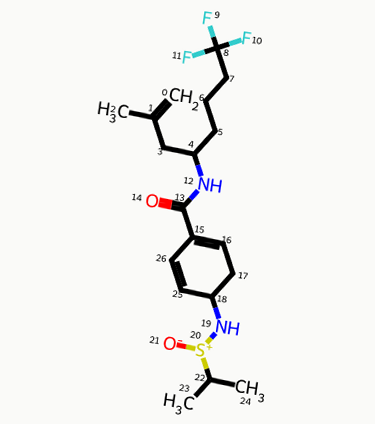 C=C(C)CC(CCCC(F)(F)F)NC(=O)C1=CCC(N[S+]([O-])C(C)C)C=C1